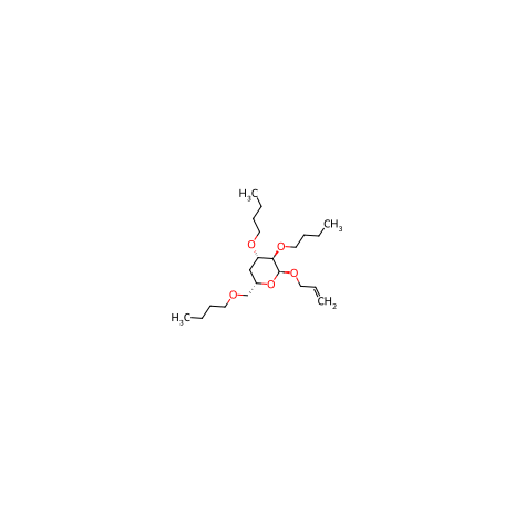 C=CCO[C@H]1O[C@H](COCCCC)C[C@H](OCCCC)[C@H]1OCCCC